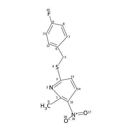 Cc1nc(SCc2ccc(F)cc2)ccc1[N+](=O)[O-]